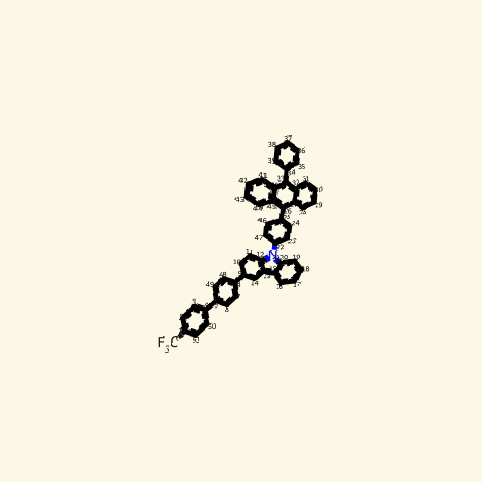 FC(F)(F)c1ccc(-c2ccc(-c3ccc4c(c3)c3ccccc3n4-c3ccc(-c4c5ccccc5c(-c5ccccc5)c5ccccc45)cc3)cc2)cc1